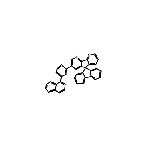 c1cc(-c2cnc3c(c2)C2(c4ccccc4-c4ccccc42)c2cccnc2-3)cc(-c2cccc3ccccc23)c1